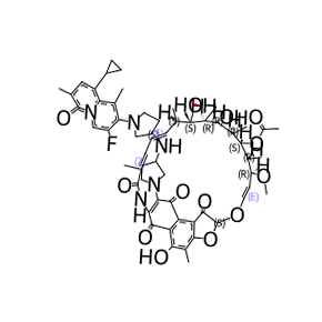 CO[C@H]1/C=C/O[C@@]2(C)Oc3c(C)c(O)c4c(c3C2=O)C(=O)C(N2CCC(N[C@H]3CCN(c5c(F)cn6c(=O)c(C)cc(C7CC7)c6c5C)C3)C2)=C(NC(=O)/C(C)=C\C=C\[C@H](C)[C@H](O)[C@@H](C)[C@@H](O)[C@@H](C)[C@H](OC(C)=O)[C@@H]1C)C4=O